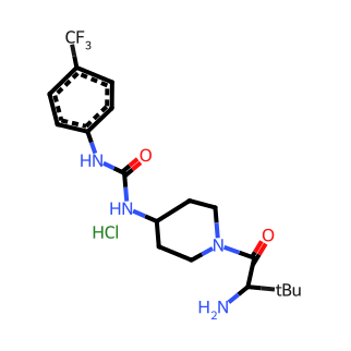 CC(C)(C)C(N)C(=O)N1CCC(NC(=O)Nc2ccc(C(F)(F)F)cc2)CC1.Cl